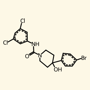 O=C(Nc1cc(Cl)cc(Cl)c1)N1CCC(O)(c2ccc(Br)cc2)CC1